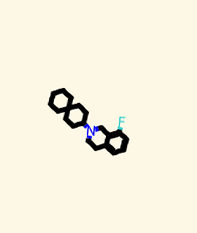 Fc1cccc2c1CN(C1CCC3(CCCCC3)CC1)CC2